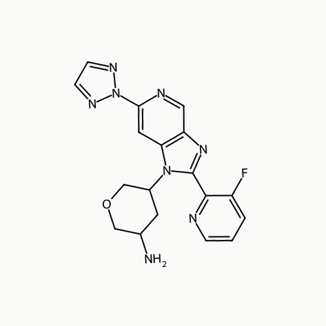 NC1COCC(n2c(-c3ncccc3F)nc3cnc(-n4nccn4)cc32)C1